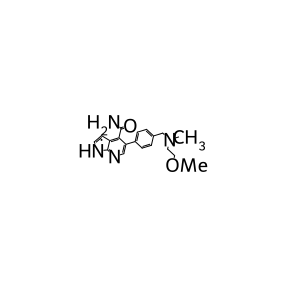 COCCN(C)Cc1ccc(-c2cnc3[nH]c[c]c3c2C(N)=O)cc1